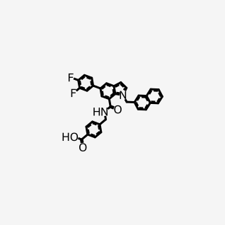 O=C(O)c1ccc(CNC(=O)c2cc(-c3ccc(F)c(F)c3)cc3ccn(Cc4ccc5ccccc5c4)c23)cc1